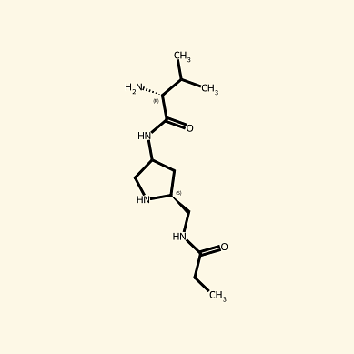 CCC(=O)NC[C@@H]1CC(NC(=O)[C@H](N)C(C)C)CN1